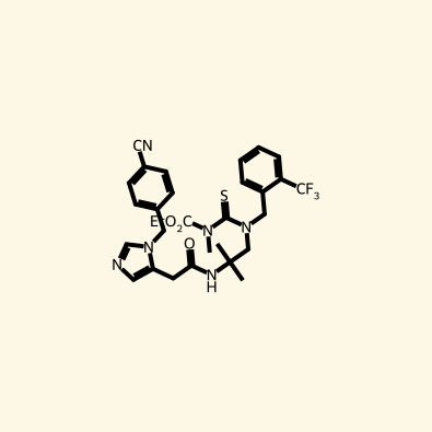 CCOC(=O)N(C)C(=S)N(Cc1ccccc1C(F)(F)F)CC(C)(C)NC(=O)Cc1cncn1Cc1ccc(C#N)cc1